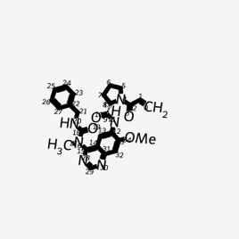 C=CC(=O)N1CCC[C@H]1C(=O)Nc1cc2c(N(C)C(=O)NCc3ccccc3)ncnc2cc1OC